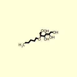 CCCCCCO[C@@H](C=O)[C@@H](O)[C@H](O)[C@H](O)CO